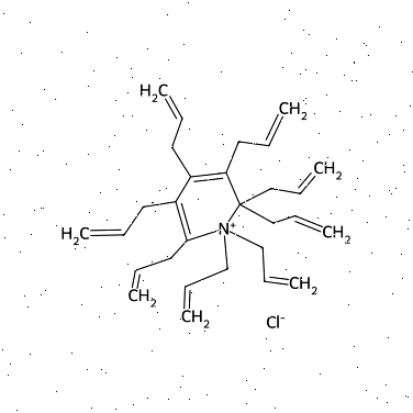 C=CCC1=C(CC=C)C(CC=C)(CC=C)[N+](CC=C)(CC=C)C(CC=C)=C1CC=C.[Cl-]